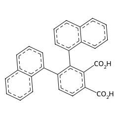 O=C(O)c1ccc(-c2cccc3ccccc23)c(-c2cccc3ccccc23)c1C(=O)O